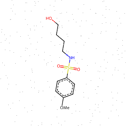 COc1ccc(S(=O)(=O)NCCCCO)cc1